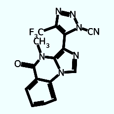 Cn1c(=O)c2ccccc2n2cnc(-c3c(C(F)(F)F)nnn3C#N)c12